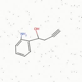 C#CCC(O)c1ccccc1N